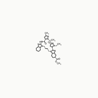 CCn1nc(C)cc1C(=O)Nc1nc2ccccc2n1C/C=C/Cn1c(-c2cc(C)nn2CC)nc2cc(C(=O)OC)ccc21